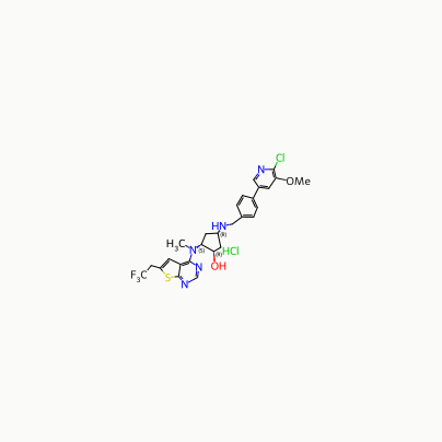 COc1cc(-c2ccc(CN[C@H]3C[C@@H](O)[C@@H](N(C)c4ncnc5sc(CC(F)(F)F)cc45)C3)cc2)cnc1Cl.Cl